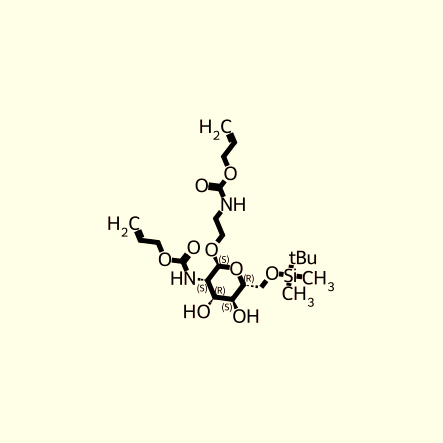 C=CCOC(=O)NCCO[C@H]1O[C@H](CO[Si](C)(C)C(C)(C)C)[C@@H](O)[C@H](O)[C@@H]1NC(=O)OCC=C